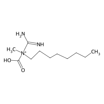 CCCCCCCC[N+](C)(C(=N)N)C(=O)O